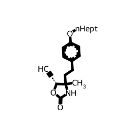 C#C[C@H]1OC(=O)NC1(C)CCc1ccc(OCCCCCCC)cc1